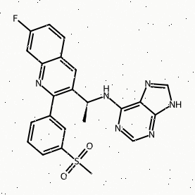 C[C@H](Nc1ncnc2[nH]cnc12)c1cc2ccc(F)cc2nc1-c1cccc(S(C)(=O)=O)c1